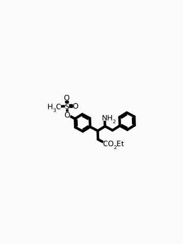 CCOC(=O)CC(c1ccc(OS(C)(=O)=O)cc1)C(N)Cc1ccccc1